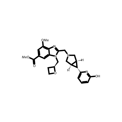 COC(=O)c1cc(OC)c2nc(CN3C[C@@H]4[C@H](C3)[C@H]4c3cccc(O)n3)n(C[C@@H]3CCO3)c2c1